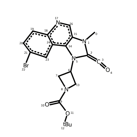 CN1C(=C=O)N(C2CN(C(=O)OC(C)(C)C)C2)c2c1cnc1ccc(Br)cc21